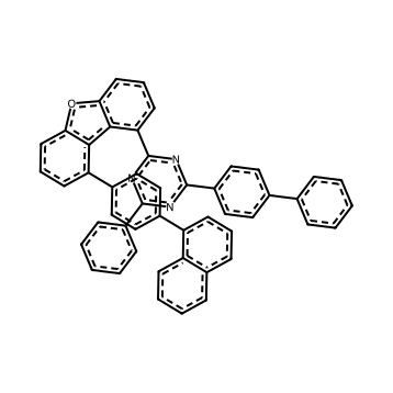 c1ccc(-c2ccc(-c3nc(-c4ccccc4)nc(-c4cccc5oc6cccc(-c7ccc(-c8cccc9ccccc89)cc7)c6c45)n3)cc2)cc1